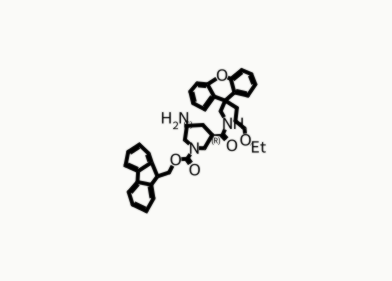 CCOCCCC1(CNC(=O)[C@@H]2C[C@H](N)CN(C(=O)OCC3c4ccccc4-c4ccccc43)C2)c2ccccc2Oc2ccccc21